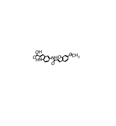 COc1ccc2cc(C(=O)Nc3ccc4[nH]c(C(=O)O)cc4c3)oc2c1